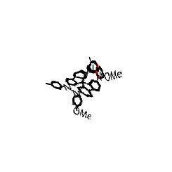 COc1ccc(N(C)c2ccc3c(c2)C2(c4cc(N(C)c5ccc(C)cc5)ccc4-3)c3cc(N(C)c4ccc(C)cc4)ccc3-c3ccc(N(C)c4ccc(OC)cc4)cc32)cc1